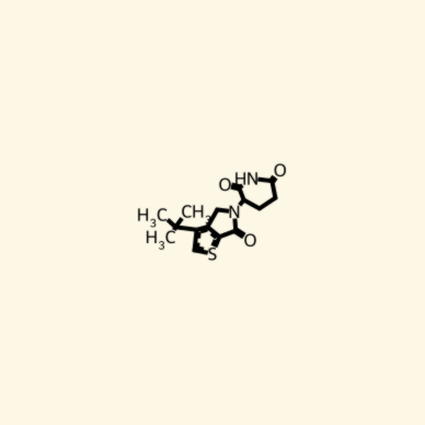 CC(C)(C)c1csc2c1CN(C1CCC(=O)NC1=O)C2=O